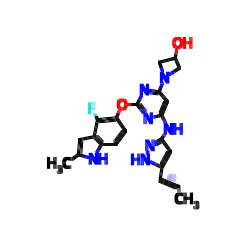 C/C=C/c1cc(Nc2cc(N3CC(O)C3)nc(Oc3ccc4[nH]c(C)cc4c3F)n2)n[nH]1